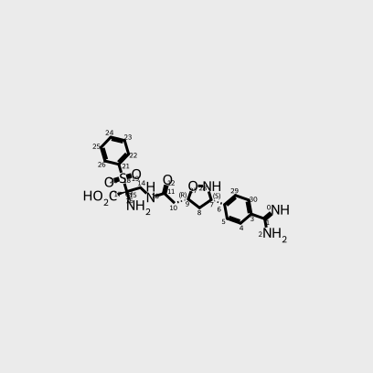 N=C(N)c1ccc([C@@H]2C[C@H](CC(=O)NC[C@@](N)(C(=O)O)S(=O)(=O)c3ccccc3)ON2)cc1